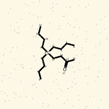 CCCCS(CCCC)(CCCC)CCC(C)=O